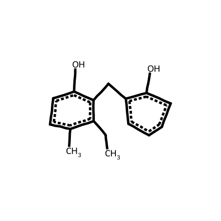 CCc1c(C)ccc(O)c1Cc1ccccc1O